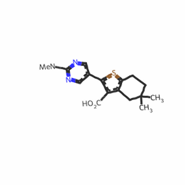 CNc1ncc(-c2sc3c(c2C(=O)O)CC(C)(C)CC3)cn1